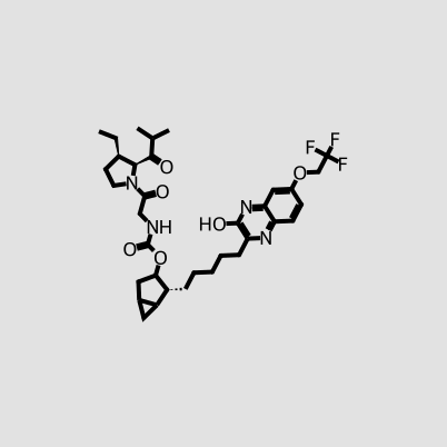 CC[C@@H]1CCN(C(=O)CNC(=O)OC2CC3CC3[C@H]2CCCCCc2nc3ccc(OCC(F)(F)F)cc3nc2O)[C@@H]1C(=O)C(C)C